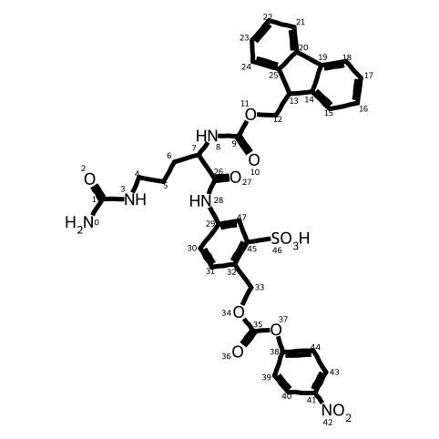 NC(=O)NCCCC(NC(=O)OCC1c2ccccc2-c2ccccc21)C(=O)Nc1ccc(COC(=O)Oc2ccc([N+](=O)[O-])cc2)c(S(=O)(=O)O)c1